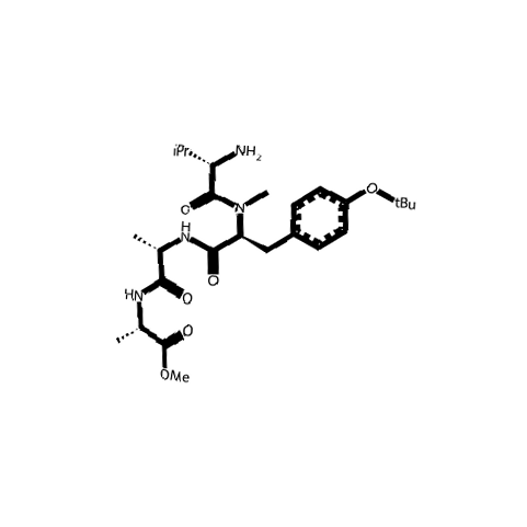 COC(=O)[C@H](C)NC(=O)[C@H](C)NC(=O)[C@H](Cc1ccc(OC(C)(C)C)cc1)N(C)C(=O)[C@@H](N)C(C)C